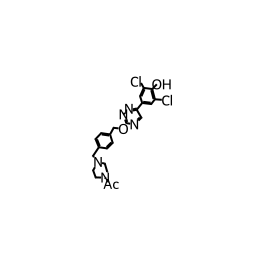 CC(=O)N1CCN(Cc2ccc(COc3ncc(-c4cc(Cl)c(O)c(Cl)c4)nn3)cc2)CC1